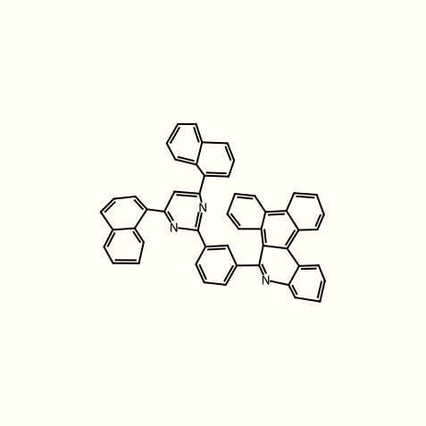 c1cc(-c2nc(-c3cccc4ccccc34)cc(-c3cccc4ccccc34)n2)cc(-c2nc3ccccc3c3c4ccccc4c4ccccc4c23)c1